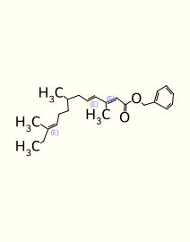 CC/C(C)=C/CCC(C)C/C=C/C(C)=C/C(=O)OCc1ccccc1